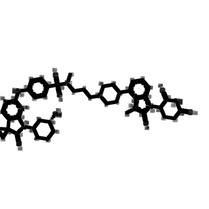 CN(CCCN1CCC(c2cccc3c2n(C)c(=O)n3C2CCC(=O)NC2=O)CC1)S(=O)(=O)c1ccc(Nc2ncc3c(n2)N([C@@H]2CCC[C@@H](O)C2)C(=O)C32CC2)cc1